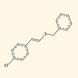 Clc1ccc(C=CSCc2ccccc2)cc1